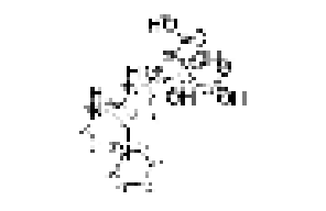 C1CCNCC1.C1CCNCC1.C1CCNCC1.O=C(O)CC(O)(CC(=O)O)C(=O)O